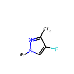 CC(C)n1cc(F)c(C(F)(F)F)n1